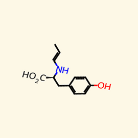 CC=CN[C@@H](Cc1ccc(O)cc1)C(=O)O